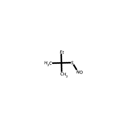 CCC(C)(C)SN=O